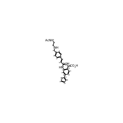 CC(=O)NCCNCc1ccc(C=CC(=O)Nc2cc(-c3cccs3)ccc2NC(=O)O)cc1